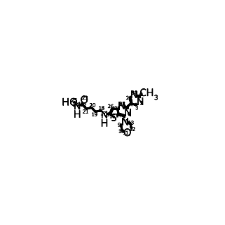 Cc1ncc(-c2nc(N3CCOCC3)c3sc(NCCCCC(=O)NO)cc3n2)cn1